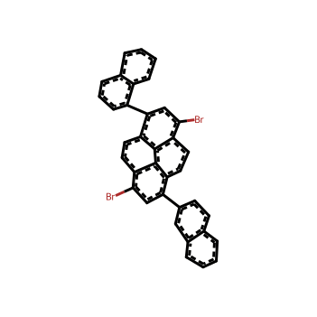 Brc1cc(-c2ccc3ccccc3c2)c2ccc3c(Br)cc(-c4cccc5ccccc45)c4ccc1c2c34